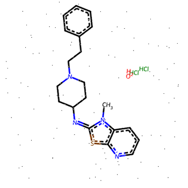 Cl.Cl.Cn1/c(=N\C2CCN(CCc3ccccc3)CC2)sc2ncccc21.O